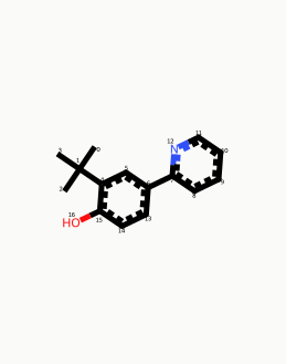 CC(C)(C)c1cc(-c2ccccn2)ccc1O